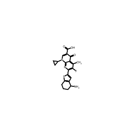 Cc1c(F)c(-c2cc3c(s2)CCCC3N)nc2c1c(=O)c(C(=O)O)cn2C1CC1